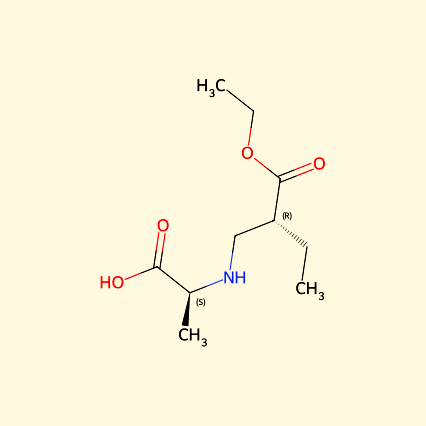 CCOC(=O)[C@H](CC)CN[C@@H](C)C(=O)O